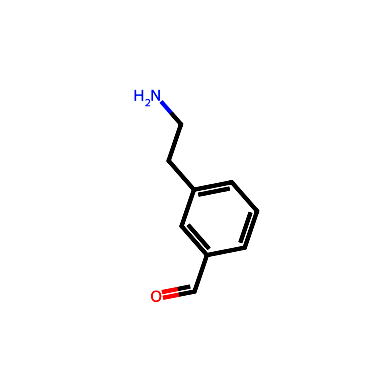 NCCc1cccc(C=O)c1